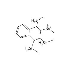 C[SiH2]C1c2ccccc2C([SiH2]C)C([SiH2]C)C1[SiH2]C